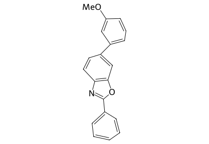 COc1cccc(-c2ccc3nc(-c4ccccc4)oc3c2)c1